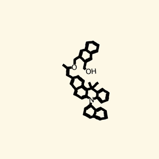 CC(=Cc1ccc2c3c(ccc2c1)N(c1cccc2ccccc12)c1ccccc1C3(C)C)OCc1cc2ccccc2cc1CO